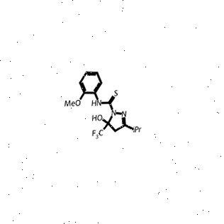 COc1ccccc1NC(=S)N1N=C(C(C)C)CC1(O)C(F)(F)F